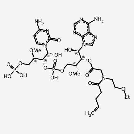 C=CCCC(=O)N(CCOCC)CC(=O)O[C@@H]([C@@H](O)n1cnc2c(N)ncnc21)[C@@H](COP(=O)(O)O[C@@H]([C@@H](O)n1ccc(N)nc1=O)[C@@H](COP(=O)(O)O)OC)OC